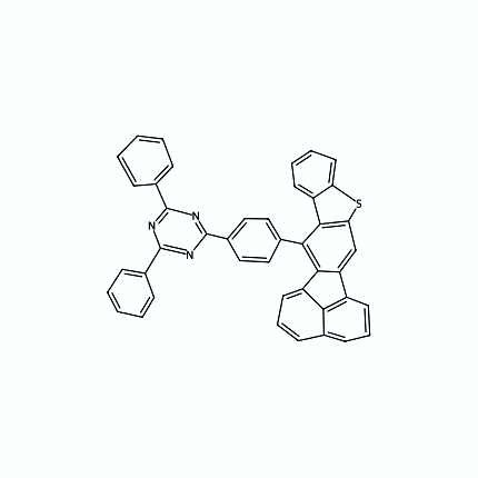 c1ccc(-c2nc(-c3ccccc3)nc(-c3ccc(-c4c5c(cc6sc7ccccc7c46)-c4cccc6cccc-5c46)cc3)n2)cc1